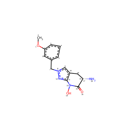 COc1cccc(Cn2cc3c(n2)N(O)C(=O)[C@@H](N)C3)c1